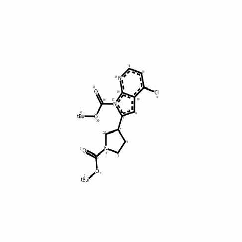 CC(C)(C)OC(=O)N1CCC(c2cc3c(Cl)ccnc3n2C(=O)OC(C)(C)C)C1